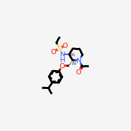 CCS(=O)(=O)N[C@H]1CCCN(C(C)=O)[C@@H]1COc1ccc(C(C)C)cc1